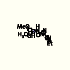 CCOc1ccc(-c2cncc(C(=O)N/N=C/c3cc(OC)cc(C(C)O)c3F)n2)cn1